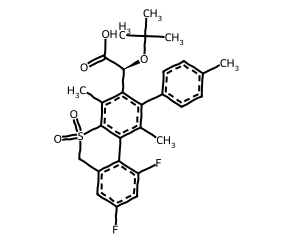 Cc1ccc(-c2c(C)c3c(c(C)c2[C@H](OC(C)(C)C)C(=O)O)S(=O)(=O)Cc2cc(F)cc(F)c2-3)cc1